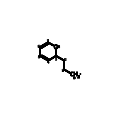 [CH2]CCC1C=CC=CO1